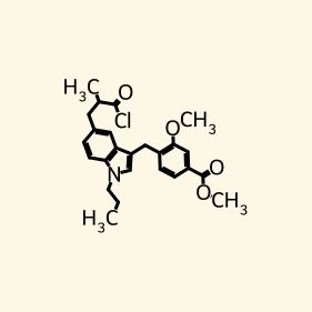 CCCn1cc(Cc2ccc(C(=O)OC)cc2OC)c2cc(CC(C)C(=O)Cl)ccc21